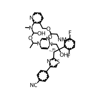 CNCC(=O)OCc1cccnc1N(C)C(O)OC(C)N1C=CN(CC(O)(c2cc(F)ccc2F)[C@@H](C)c2nc(-c3ccc(C#N)cc3)cs2)N=C1